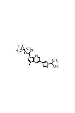 CC(C)n1cc(-c2cnc3c(c2)c(I)cn3C(=O)OC(C)(C)C)cn1